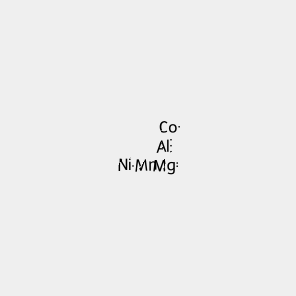 [Al].[Co].[Mg].[Mn].[Ni]